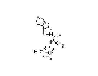 CC(NC(=O)OC(C)(C)C)C(=O)NCc1cc2cnccc2[nH]1